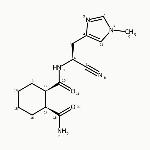 Cn1cnc(C[C@@H](C#N)NC(=O)[C@@H]2CCCC[C@@H]2C(N)=O)c1